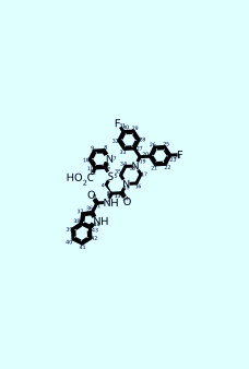 O=C(N[C@@H](CSc1ncccc1C(=O)O)C(=O)N1CCN(C(c2ccc(F)cc2)c2ccc(F)cc2)CC1)c1cc2ccccc2[nH]1